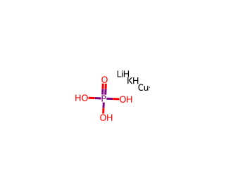 O=P(O)(O)O.[Cu].[KH].[LiH]